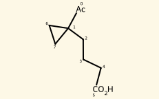 CC(=O)C1(CCCC(=O)O)CC1